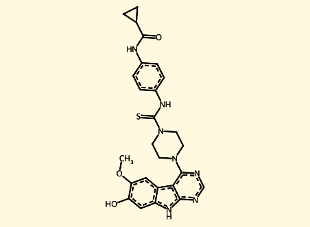 COc1cc2c(cc1O)[nH]c1ncnc(N3CCN(C(=S)Nc4ccc(NC(=O)C5CC5)cc4)CC3)c12